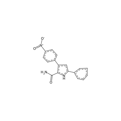 NC(=O)c1[nH]c(-c2ccccc2)cc1-c1ccc([N+](=O)[O-])cc1